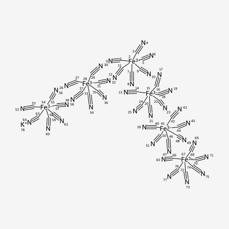 N#[C][Fe-3]([C]#N)([C]#N)([C]#N)([C]#N)[C]#N.N#[C][Fe-3]([C]#N)([C]#N)([C]#N)([C]#N)[C]#N.N#[C][Fe-3]([C]#N)([C]#N)([C]#N)([C]#N)[C]#N.N#[C][Fe-3]([C]#N)([C]#N)([C]#N)([C]#N)[C]#N.N#[C][Fe-3]([C]#N)([C]#N)([C]#N)([C]#N)[C]#N.N#[C][Fe-3]([C]#N)([C]#N)([C]#N)([C]#N)[C]#N.[K+]